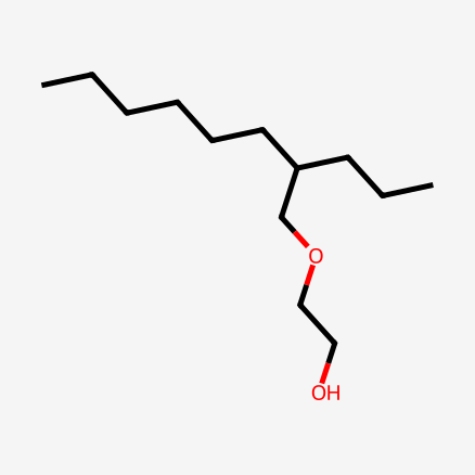 CCCCCCC(CCC)COCCO